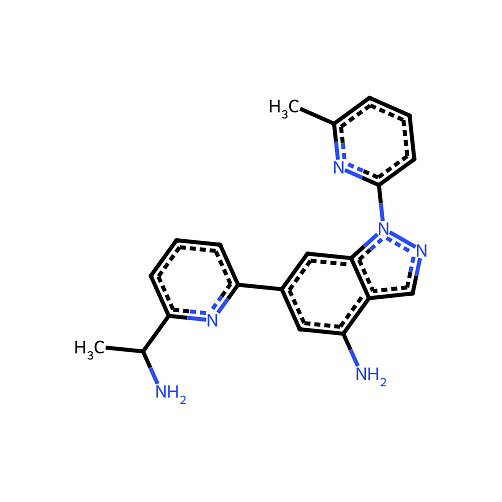 Cc1cccc(-n2ncc3c(N)cc(-c4cccc(C(C)N)n4)cc32)n1